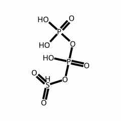 O=[SH](=O)OP(=O)(O)OP(=O)(O)O